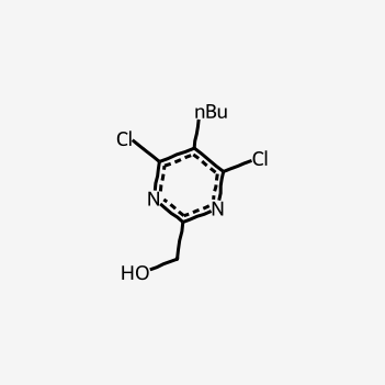 CCCCc1c(Cl)nc(CO)nc1Cl